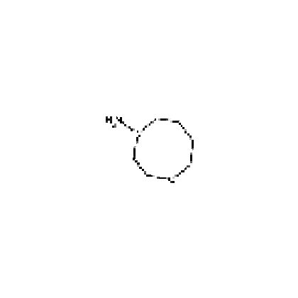 NN1CCCCOCC1